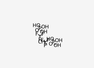 C.FC(F)F.FC(F)F.O=P(O)(O)O.O=P(O)(O)O